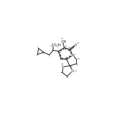 CCOC(=O)C(CC1CC1)c1cc2n(c(=O)c1C#N)CCC21OCCO1